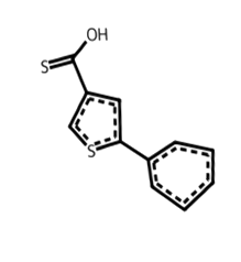 OC(=S)c1csc(-c2ccccc2)c1